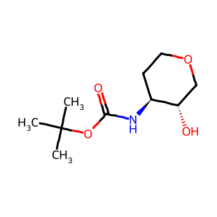 CC(C)(C)OC(=O)N[C@H]1CCOC[C@@H]1O